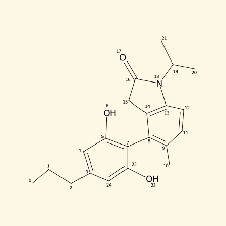 CCCc1cc(O)c(-c2c(C)ccc3c2CC(=O)N3C(C)C)c(O)c1